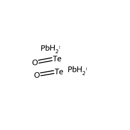 O=[Te].O=[Te].[PbH2].[PbH2]